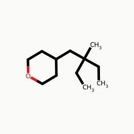 CCC(C)(CC)CC1CCOCC1